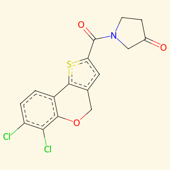 O=C1CCN(C(=O)c2cc3c(s2)-c2ccc(Cl)c(Cl)c2OC3)C1